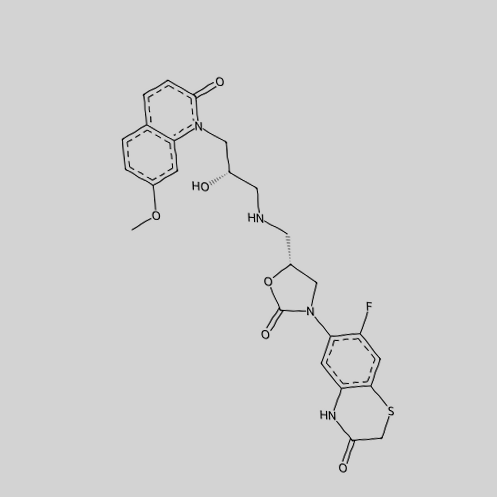 COc1ccc2ccc(=O)n(C[C@@H](O)CNC[C@@H]3CN(c4cc5c(cc4F)SCC(=O)N5)C(=O)O3)c2c1